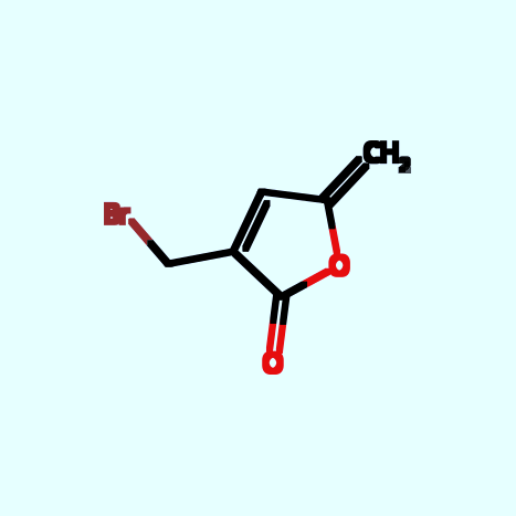 C=C1C=C(CBr)C(=O)O1